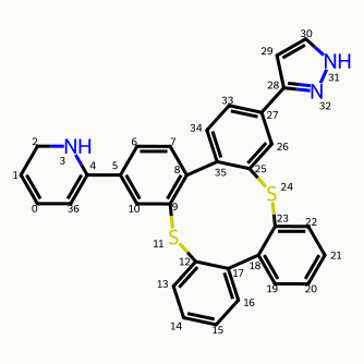 C1=CCNC(c2ccc3c(c2)Sc2ccccc2-c2ccccc2Sc2cc(-c4cc[nH]n4)ccc2-3)=C1